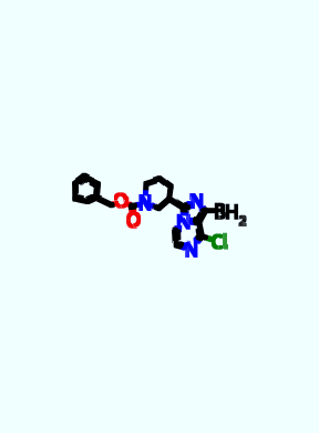 Bc1nc(C2CCCN(C(=O)OCc3ccccc3)C2)n2ccnc(Cl)c12